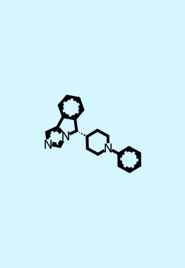 c1ccc(N2CCC([C@H]3c4ccccc4-c4cncn43)CC2)cc1